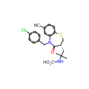 CC(C)(C[C@H]1CSc2ccc(C#N)cc2N(Cc2ccc(Cl)cc2)C1=O)NC(=O)O